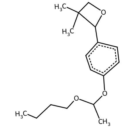 CCCCOC(C)Oc1ccc(C2OCC2(C)C)cc1